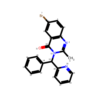 Cc1nc2ccc(Br)cc2c(=O)n1C(c1ccccc1)c1ccccn1